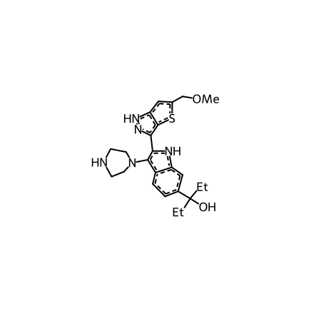 CCC(O)(CC)c1ccc2c(N3CCNCC3)c(-c3n[nH]c4cc(COC)sc34)[nH]c2c1